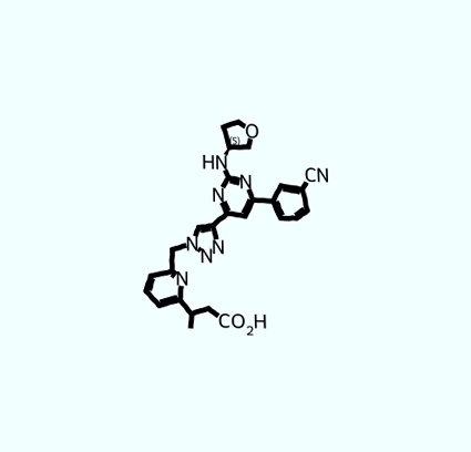 CC(CC(=O)O)c1cccc(Cn2cc(-c3cc(-c4cccc(C#N)c4)nc(N[C@H]4CCOC4)n3)nn2)n1